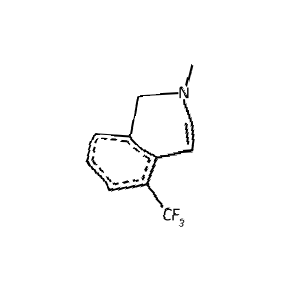 CN1C=Cc2c(cccc2C(F)(F)F)C1